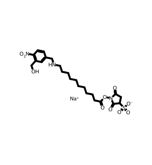 O=C(CCCCCCCCCCNCc1ccc([N+](=O)[O-])c(CO)c1)ON1C(=O)CC(S(=O)(=O)[O-])C1=O.[Na+]